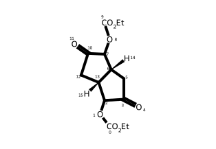 CCOC(=O)OC1C(=O)C[C@H]2C(OC(=O)OCC)C(=O)C[C@@H]12